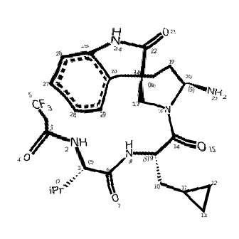 CC(C)[C@H](NC(=O)C(F)(F)F)C(=O)N[C@@H](CC1CC1)C(=O)N1C[C@]2(C[C@H]1N)C(=O)Nc1ccccc12